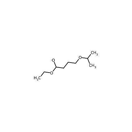 CCOC([O])CCCOC(C)C